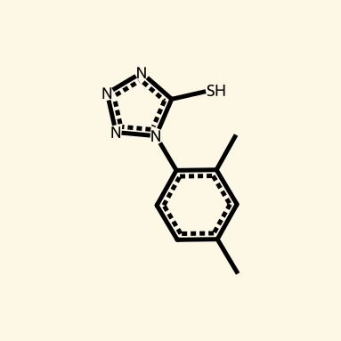 Cc1ccc(-n2nnnc2S)c(C)c1